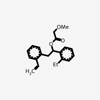 C=Cc1ccccc1CC(OC(=O)COC)c1ccccc1CC